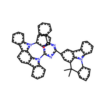 CC1(C)c2ccccc2-n2c3ccccc3c3cc(-c4nc(-c5ccccc5)nc(-n5c6ccccc6c6ccc7c8ccccc8n(-c8ccccc8)c7c65)n4)cc1c32